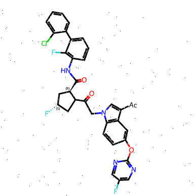 CC(=O)c1cn(CC(=O)C2C[C@H](F)C[C@H]2C(=O)Nc2cccc(-c3ccccc3Cl)c2F)c2ccc(Oc3ncc(F)cn3)cc12